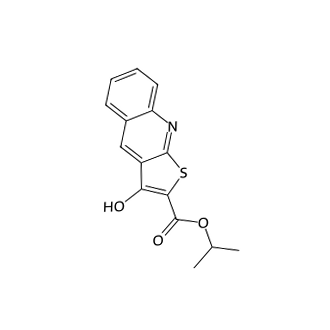 CC(C)OC(=O)c1sc2nc3ccccc3cc2c1O